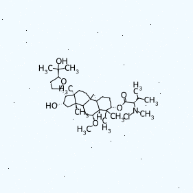 CO[C@H]1CC2C3(CC[C@]4(C)[C@@H](C5CC[C@@H](C(C)(C)O)O5)[C@@H](O)C[C@@]24C)C[C@@]32CC[C@H](OC(=O)[C@@H](C(C)C)N(C)Cl)C(C)(C)[C@H]12